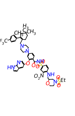 CCS(=O)(=O)N1CCOC(CNc2ccc(S(=O)(=O)NC(=O)c3ccc(N4CCN(CC5=C(c6ccc(C(F)(F)F)cc6C)CC(C)(C)CC5)CC4)cc3Oc3cnc4[nH]ccc4c3)cc2[N+](=O)[O-])C1